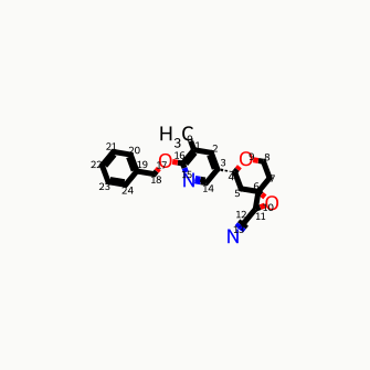 Cc1cc([C@H]2CC3(CCO2)OC3C#N)cnc1OCc1ccccc1